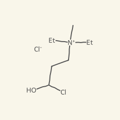 CC[N+](C)(CC)CCC(O)Cl.[Cl-]